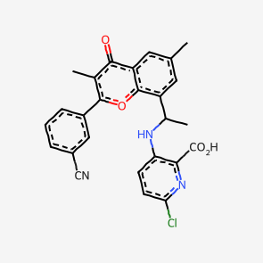 Cc1cc(C(C)Nc2ccc(Cl)nc2C(=O)O)c2oc(-c3cccc(C#N)c3)c(C)c(=O)c2c1